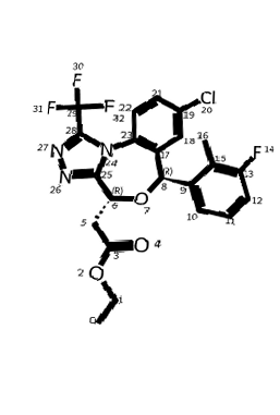 CCOC(=O)C[C@H]1O[C@H](c2cccc(F)c2C)c2cc(Cl)ccc2-n2c1nnc2C(F)(F)F